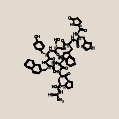 CC(C)C[C@H](NC(=O)[C@H](Cc1ccc2ccccc2c1)NC(=O)[C@H](Cc1ccc(O)cc1)NC(=O)[C@H](CO)NC(=O)[C@H](Cc1c[nH]c2ccccc12)NC(=O)[C@H](Cc1c[nH]cn1)NC(=O)[C@@H]1CCC(=O)N1)C(=O)N[C@@H](CCCNC(=N)N)C(=O)N1CCC[C@H]1C(=O)O